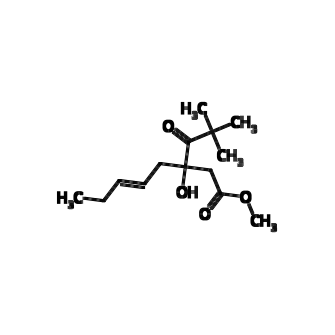 CC/C=C/CC(O)(CC(=O)OC)C(=O)C(C)(C)C